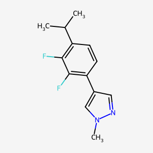 CC(C)c1ccc(-c2cnn(C)c2)c(F)c1F